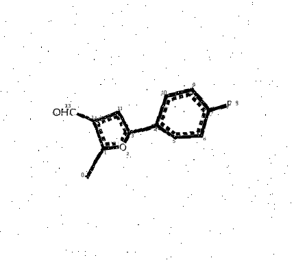 Cc1oc(-c2ccc(F)cc2)cc1C=O